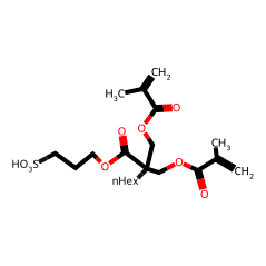 C=C(C)C(=O)OCC(CCCCCC)(COC(=O)C(=C)C)C(=O)OCCCS(=O)(=O)O